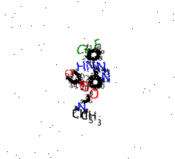 CCN(CC)CCCOc1cc2ncnc(Nc3ccc(F)c(Cl)c3)c2cc1OC1CCOCC1